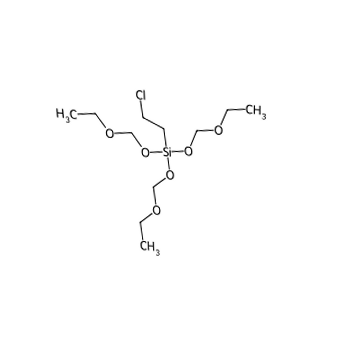 CCOCO[Si](CCCl)(OCOCC)OCOCC